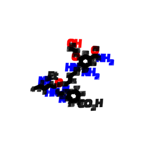 CCn1nc(C)cc1C(=O)Nc1nc2cc(C(=O)O)ccc2n1CC=CCNc1c(N)cc(C(N)=O)cc1OCCO